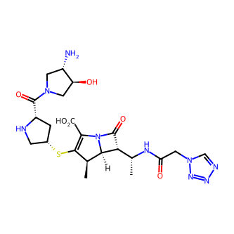 C[C@@H](NC(=O)Cn1cnnn1)[C@H]1C(=O)N2C(C(=O)O)=C(S[C@@H]3CN[C@H](C(=O)N4C[C@H](N)[C@@H](O)C4)C3)[C@H](C)[C@H]12